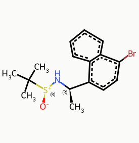 C[C@@H](N[S@@+]([O-])C(C)(C)C)c1ccc(Br)c2ccccc12